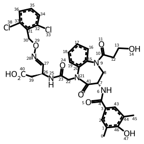 Cc1cc(C(=O)N[C@H]2CN(C(=O)CCO)c3ccccc3N(CC(=O)N[C@H](/C=N/OCc3c(Cl)cccc3Cl)CC(=O)O)C2=O)cc(C)c1O